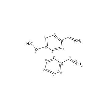 C=Cc1ccc(OC)cc1.C=Cc1ccccc1